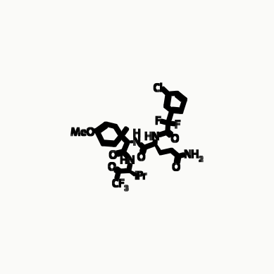 COC1=CCC(C)([C@H](NC(=O)[C@H](CCC(N)=O)NC(=O)C(F)(F)c2cccc(Cl)c2)C(=O)N[C@H](C(=O)C(F)(F)F)C(C)C)C=C1